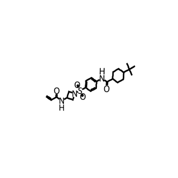 C=CC(=O)NC1CN(S(=O)(=O)c2ccc(NC(=O)C3CCC(C(C)(C)C)CC3)cc2)C1